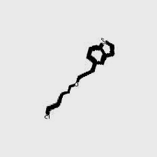 ClCCCCCOCCc1ccc2sccc2c1